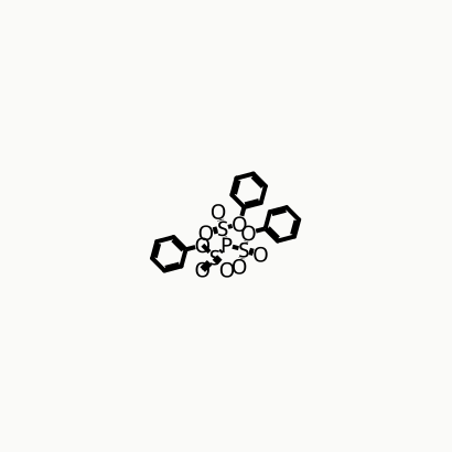 O=S(=O)(Oc1ccccc1)P(S(=O)(=O)Oc1ccccc1)S(=O)(=O)Oc1ccccc1